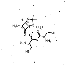 CC1(C)S[C@@H]2[C@H](N)C(=O)N2[C@H]1C(=O)O.N[C@@H](CS)C(=O)SC(=O)[C@@H](N)CS